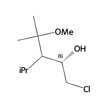 COC(C)(C)C(C(C)C)[C@H](O)CCl